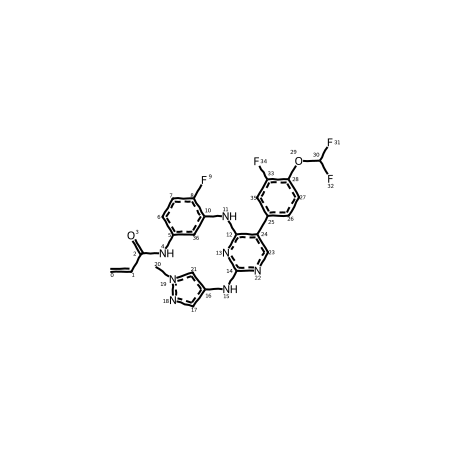 C=CC(=O)Nc1ccc(F)c(Nc2nc(Nc3cnn(C)c3)ncc2-c2ccc(OC(F)F)c(F)c2)c1